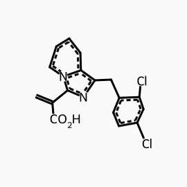 C=C(C(=O)O)c1nc(Cc2ccc(Cl)cc2Cl)c2ccccn12